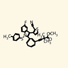 COC(=O)C(C)(C)C#CC1=CC(c2c(-c3ccsc3C#N)c3cc(F)ccc3n2Sc2ccc(C)cc2)=CCC=C1